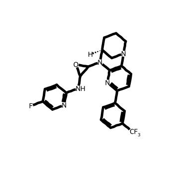 Fc1ccc(NC2OC2N2c3nc(-c4cccc(C(F)(F)F)c4)ccc3N3CCC[C@H]2C3)nc1